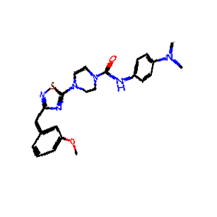 COc1cccc(Cc2nsc(N3CCN(C(=O)Nc4ccc(N(C)C)cc4)CC3)n2)c1